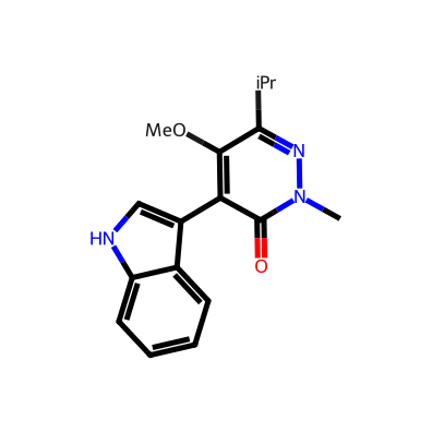 COc1c(C(C)C)nn(C)c(=O)c1-c1c[nH]c2ccccc12